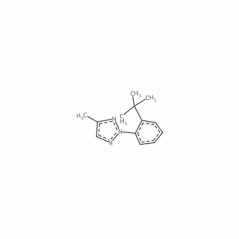 Cc1cnn(-c2ccccc2C(C)(C)C)n1